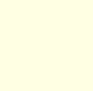 CC(OC(=O)Cl)OC(=O)C(C)C